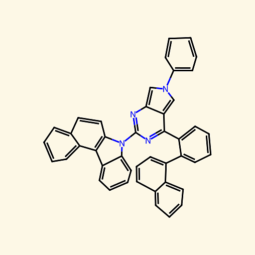 c1ccc(-n2cc3nc(-n4c5ccccc5c5c6ccccc6ccc54)nc(-c4ccccc4-c4cccc5ccccc45)c3c2)cc1